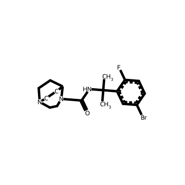 CC(C)(NC(=O)N1CCN2CCC1CC2)c1cc(Br)ccc1F